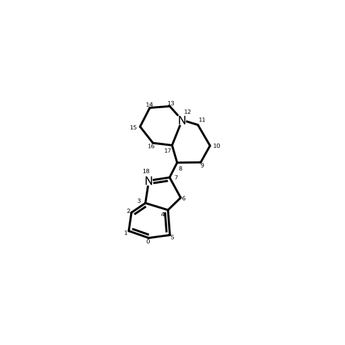 c1ccc2c(c1)CC(C1CCCN3CCCCC13)=N2